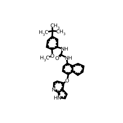 COc1ccc(C(C)(C)C)cc1NC(=O)Nc1ccc(Oc2ccnc3[nH]ccc23)c2ccccc12